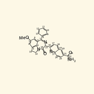 COc1cc2c3c(c1)C(c1ccccc1)=NC(c1ccc4cc(C(N)=O)ccc4n1)C(=O)N3CC2